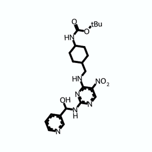 CC(C)(C)OC(=O)NC1CCC(CNc2nc(NC(O)c3cccnc3)ncc2[N+](=O)[O-])CC1